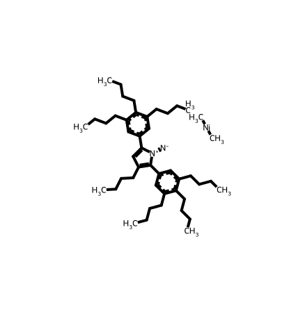 CCCCC1=C(c2cc(CCCC)c(CCCC)c(CCCC)c2)[N+](=[N-])C(c2cc(CCCC)c(CCCC)c(CCCC)c2)=C1.[CH3][Ni][CH3]